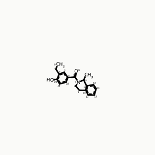 CCc1cc(C(=O)N2CCc3ccccc3C2C)ccc1O